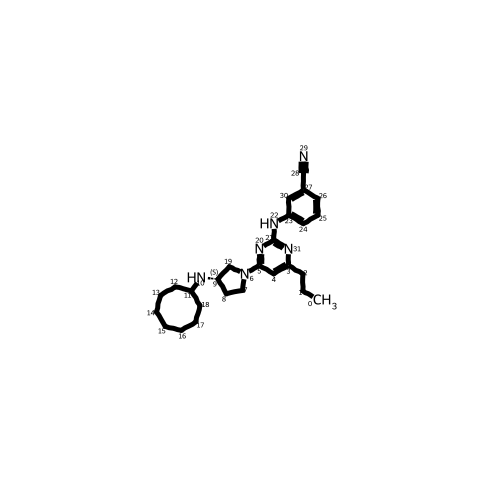 CCCc1cc(N2CC[C@H](NC3CCCCCCC3)C2)nc(Nc2cccc(C#N)c2)n1